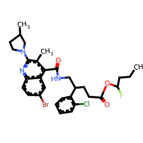 CCCC(F)OC(=O)CCC(CNC(=O)c1c(C)c(N2CCC(C)C2)nc2ccc(Br)cc12)c1ccccc1Cl